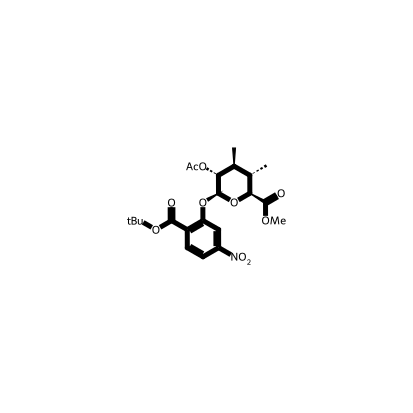 COC(=O)[C@H]1O[C@@H](Oc2cc([N+](=O)[O-])ccc2C(=O)OC(C)(C)C)[C@H](OC(C)=O)[C@@H](C)[C@@H]1C